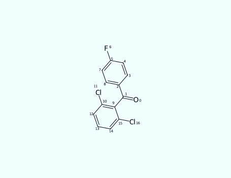 O=C(c1ccc(F)cc1)c1c(Cl)cccc1Cl